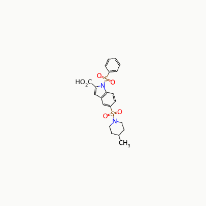 CC1CCN(S(=O)(=O)c2ccc3c(c2)cc(C(=O)O)n3S(=O)(=O)c2ccccc2)CC1